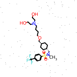 CN(C[C@H]1CC[C@H](COCCCCN(CCO)CCO)CC1)S(=O)(=O)c1ccc(C(F)(F)F)cc1